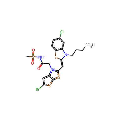 CS(=O)(=O)NC(=O)C[n+]1c(C=C2Sc3ccc(Cl)cc3N2CCCS(=O)(=O)O)sc2sc(Br)cc21